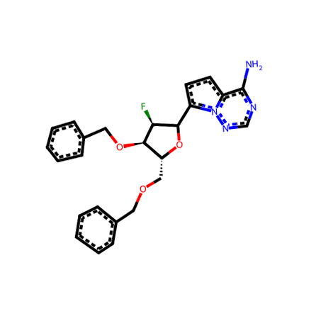 Nc1ncnn2c(C3O[C@H](COCc4ccccc4)[C@@H](OCc4ccccc4)[C@H]3F)ccc12